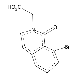 O=C(O)Cn1ccc2cccc(Br)c2c1=O